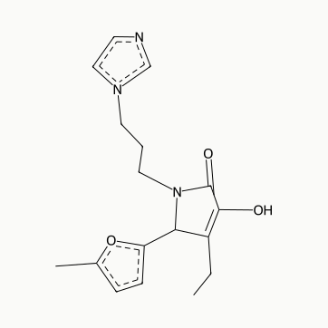 CCC1=C(O)C(=O)N(CCCn2ccnc2)C1c1ccc(C)o1